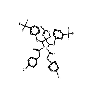 CC1=NC(C(OC(=O)Cc2ccc(Cl)cc2)Oc2cccc(C(F)(F)F)c2)(C(OC(=O)Cc2ccc(Cl)cc2)Oc2cccc(C(F)(F)F)c2)CO1